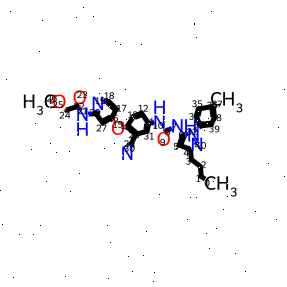 CCCCc1cc(NC(=O)Nc2ccc(Oc3ccnc(NC(=O)COC)c3)c(C#N)c2)n(-c2ccc(C)cc2)n1